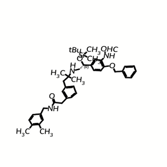 Cc1ccc(CNC(=O)Cc2cccc(CC(C)(C)NC[C@H](O[Si](C)(C)C(C)(C)C)c3ccc(OCc4ccccc4)c(NC=O)c3)c2)cc1C